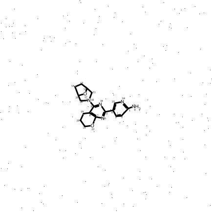 Nc1ccc(-c2nc3c(c(N4CC5CCC(C4)O5)n2)CCCO3)cn1